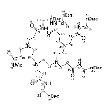 CCCCCCCCCCC(C)NC(=O)CCN(CCC(=O)NC)CCN(CCC(=O)NC(C)CCCCCCCCCC)CCN(CCC(=O)NC(C)CCCCCCCCCC)CCN(CCC(=O)NC(C)CCCCCCCCCC)CCC(=O)NC(C)CCCCCCCCCC